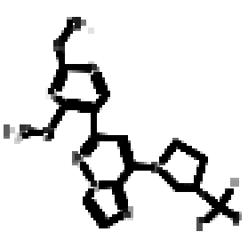 COc1ncc(-c2cc(N3CC[C@@H](C(F)(F)F)C3)c3nccn3n2)c(OC)n1